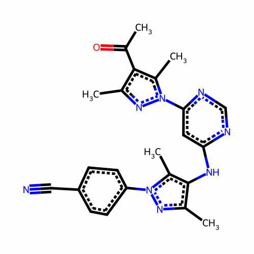 CC(=O)c1c(C)nn(-c2cc(Nc3c(C)nn(-c4ccc(C#N)cc4)c3C)ncn2)c1C